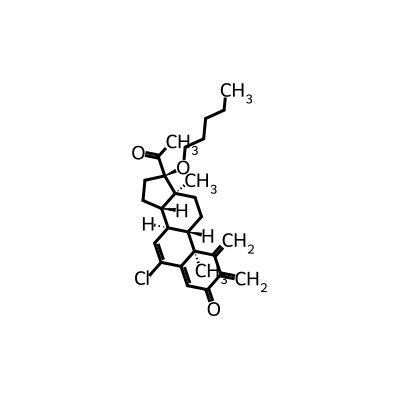 C=C1C(=C)[C@@]2(C)C(=CC1=O)C(Cl)=C[C@@H]1[C@@H]2CC[C@@]2(C)[C@H]1CC[C@]2(OCCCCC)C(C)=O